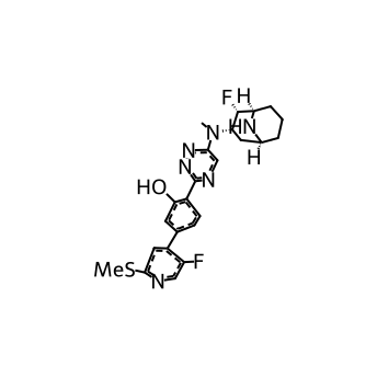 CSc1cc(-c2ccc(-c3ncc(N(C)[C@H]4C[C@@H]5CCC[C@@H](N5)[C@H]4F)nn3)c(O)c2)c(F)cn1